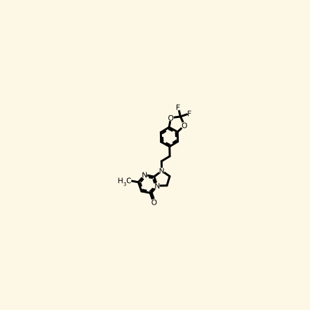 Cc1cc(=O)n2c(n1)N(CCc1ccc3c(c1)OC(F)(F)O3)CC2